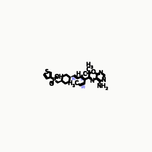 C\C=C/C(=C\C=C\[C@H]1CC[C@H](CP(=O)(O)c2ccsc2)CC1)C1=Nc2c(N)ncnc2OC1(C)C